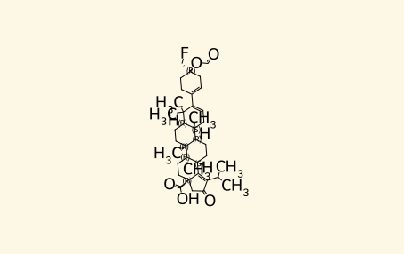 CC(C)C1=C2[C@H]3CC[C@@H]4[C@@]5(C)CC=C(C6=CC[C@](CF)(OC=O)CC6)C(C)(C)[C@@H]5CC[C@@]4(C)[C@]3(C)CC[C@@]2(C(=O)O)CC1=O